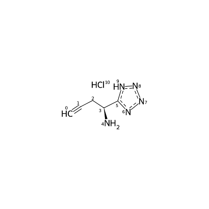 C#CC[C@H](N)c1nnn[nH]1.Cl